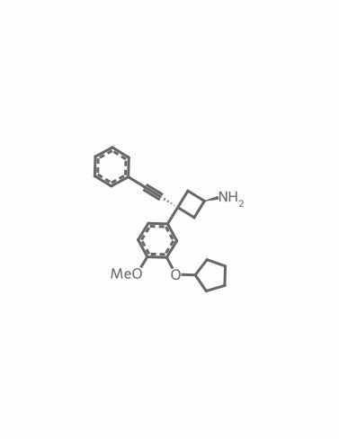 COc1ccc([C@]2(C#Cc3ccccc3)C[C@H](N)C2)cc1OC1CCCC1